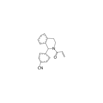 C=CC(=O)N1CCc2ccccc2C1c1ccc(C#N)cc1